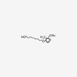 CC(=O)OCc1nccc(OCCCCCCCCCO)c1C